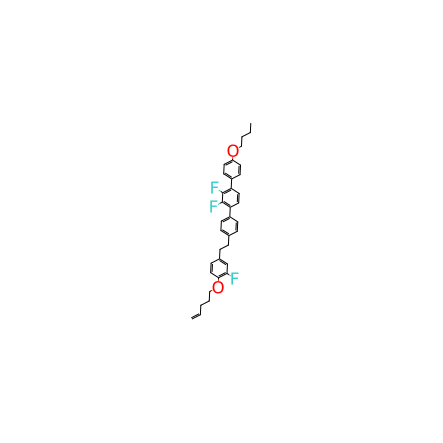 C=CCCCOc1ccc(CCc2ccc(-c3ccc(-c4ccc(OCCCC)cc4)c(F)c3F)cc2)cc1F